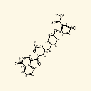 COC(=O)c1cc(Cl)ccc1OC1CCN(C[C@H](CNC(=O)c2c[nH]c(=O)c3ccccc23)OC(C)=O)CC1